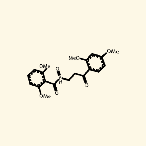 COc1ccc(C(=O)CC[PH](=O)C(=O)c2c(OC)cccc2OC)c(OC)c1